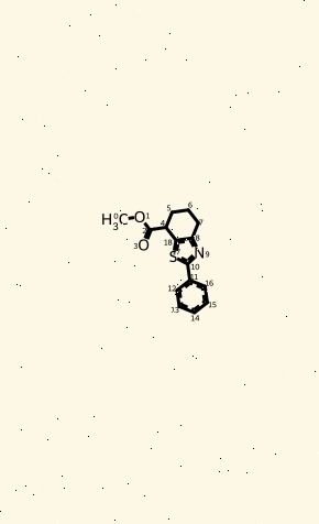 COC(=O)C1CCCc2nc(-c3ccccc3)sc21